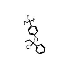 CCC(Cl)(Oc1ccc(C(F)(F)F)cc1)c1ccccc1